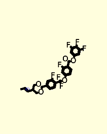 C/C=C/C1COC(c2ccc(C(F)(F)Oc3ccc(C(=O)Oc4cc(F)c(F)c(F)c4)c(F)c3)c(F)c2)OC1